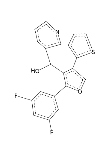 OC(c1cccnc1)c1c(-c2cccs2)coc1-c1cc(F)cc(F)c1